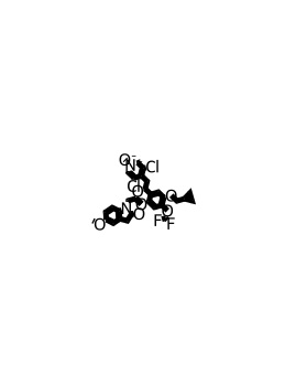 COc1ccc2c(c1)CC(=O)N2CC(=O)OC(Cc1c(Cl)c[n+]([O-])cc1Cl)c1ccc(OC(F)F)c(OCC2CC2)c1